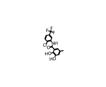 Cc1cc(O)c(O)c(C(=O)Nc2cc(C(F)(F)F)ccc2Cl)c1